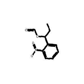 CCC(O[C]=O)c1ccccc1[N+](=O)[O-]